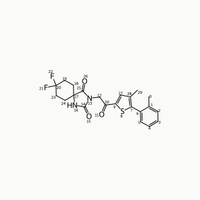 Cc1ccccc1-c1sc(C(=O)CN2C(=O)NC3(CCC(F)(F)CC3)C2=O)cc1C